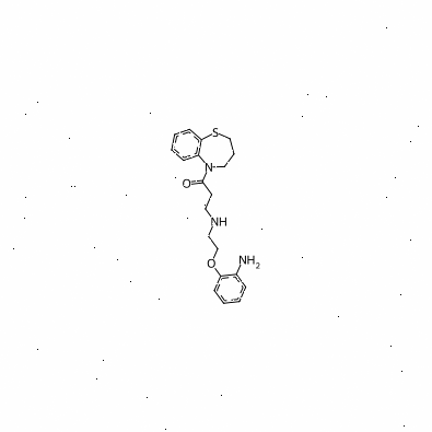 Nc1ccccc1OCCNCCC(=O)N1CCCSc2ccccc21